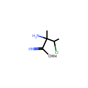 COC(=N)C(C)(N)C(C)Cl